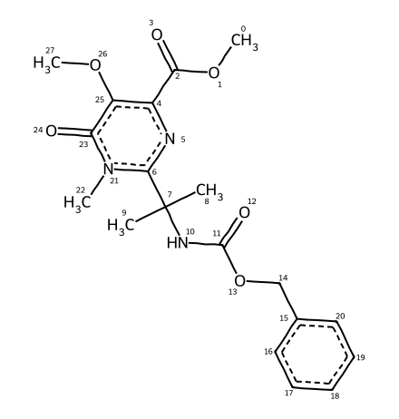 COC(=O)c1nc(C(C)(C)NC(=O)OCc2ccccc2)n(C)c(=O)c1OC